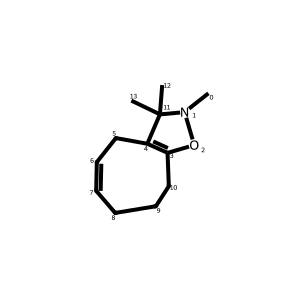 CN1OC2=C(C/C=C\CCC2)C1(C)C